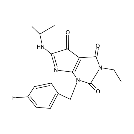 CCn1c(=O)c2c(n(Cc3ccc(F)cc3)c1=O)N=C(NC(C)C)C2=O